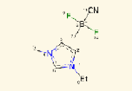 CC[n+]1ccn(C)c1.C[B-](F)(F)C#N